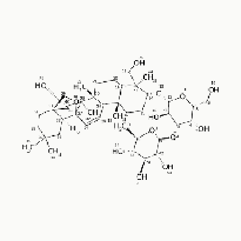 C[C@H]1O[C@@H](O[C@H]2[C@@H](O)[C@@H](CO)O[C@@H](O[C@@H]3CC[C@@]4(C)C(CC[C@]5(C)C4C=CC46OC[C@@]7(CCC(C)(C)C[C@H]47)[C@@H](O)C[C@]65C)[C@@]3(C)CO)[C@@H]2O)[C@H](O)[C@@H](O)[C@@H]1O